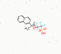 CC(C)(OC(F)(F)C(F)(F)S(=O)(=O)O)c1ccc2ccccc2c1